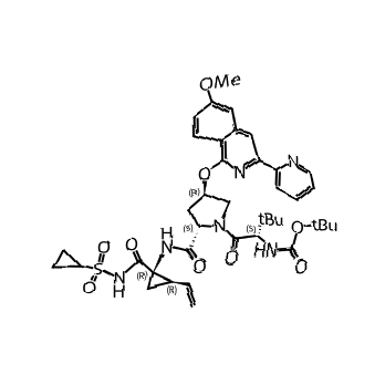 C=C[C@H]1C[C@]1(NC(=O)[C@@H]1C[C@@H](Oc2nc(-c3ccccn3)cc3cc(OC)ccc23)CN1C(=O)[C@@H](NC(=O)OC(C)(C)C)C(C)(C)C)C(=O)NS(=O)(=O)C1CC1